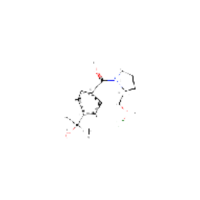 CC(O)(c1ccc(C(=O)N2CCC[C@H]2COCl)cc1)C(F)(F)F